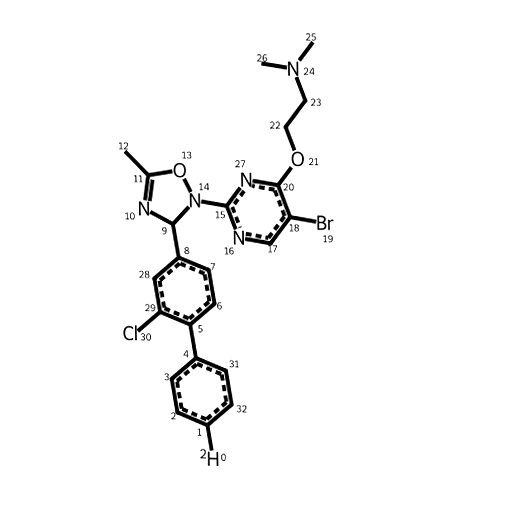 [2H]c1ccc(-c2ccc(C3N=C(C)ON3c3ncc(Br)c(OCCN(C)C)n3)cc2Cl)cc1